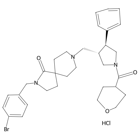 Cl.O=C(C1CCOCC1)N1C[C@H](CN2CCC3(CC2)CCN(Cc2ccc(Br)cc2)C3=O)[C@@H](c2ccccc2)C1